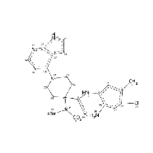 Cc1cc(NC(=O)C2(N(C(=O)O)C(C)(C)C)CCN(c3ncnc4[nH]ccc34)CC2)c(N)cc1Cl